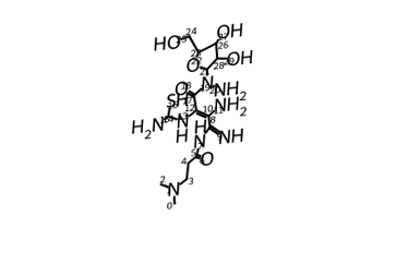 CN(C)CCC(=O)NC(=N)/C(N)=C(\NC(N)S)C(=O)N(N)C1OC(CO)C(O)C1O